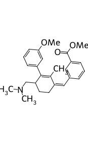 COC(=O)c1cccc(/C=C2/CCC(CN(C)C)C(c3cccc(OC)c3)=C2C)c1